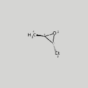 CC[C@H]1O[C@@H]1C